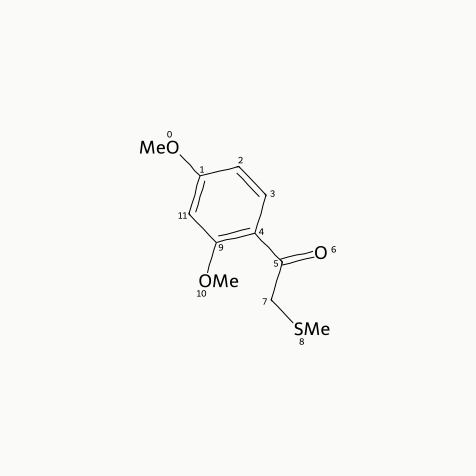 COc1ccc(C(=O)CSC)c(OC)c1